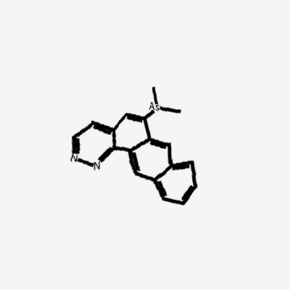 C[As](C)c1cc2ccnnc2c2cc3ccccc3cc12